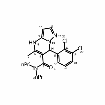 CCCN(CCC)C(=O)C1=C(C)Nc2ccnn2C1c1cccc(Cl)c1Cl